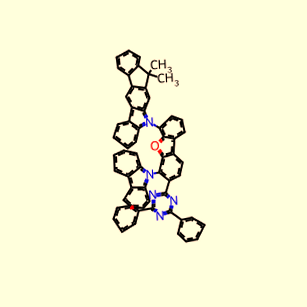 CC1(C)c2ccccc2-c2cc3c4ccccc4n(-c4cccc5c4oc4c(-n6c7ccccc7c7ccccc76)c(-c6nc(-c7ccccc7)nc(-c7ccccc7)n6)ccc45)c3cc21